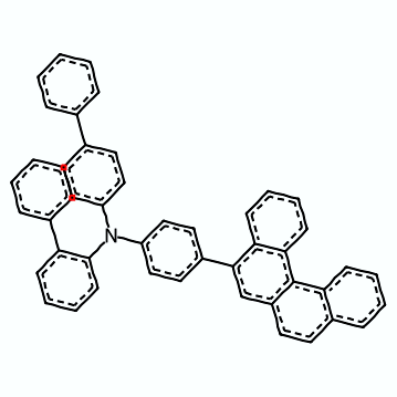 c1ccc(-c2ccc(N(c3ccc(-c4cc5ccc6ccccc6c5c5ccccc45)cc3)c3ccccc3-c3ccccc3)cc2)cc1